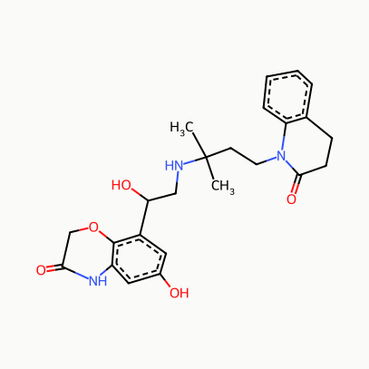 CC(C)(CCN1C(=O)CCc2ccccc21)NCC(O)c1cc(O)cc2c1OCC(=O)N2